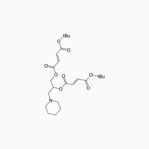 CC(C)(C)OC(=O)/C=C/C(=O)OCC(CN1CCCCC1)OC(=O)/C=C/C(=O)OC(C)(C)C